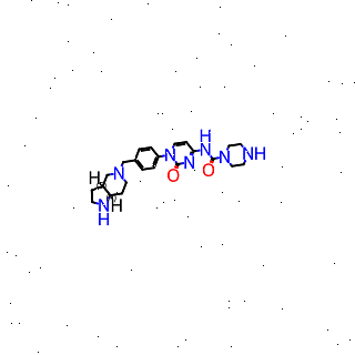 O=C(Nc1ccn(-c2ccc(CN3CC[C@H]4NCC[C@H]4C3)cc2)c(=O)n1)N1CCNCC1